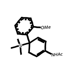 COc1ccccc1C1([Si](C)(C)C)C=CC(NC(C)=O)=CC1